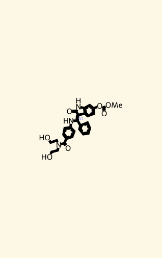 COC(=O)Oc1ccc2c(c1)NC(=O)/C2=C(\Nc1ccc(C(=O)N(CCO)CCO)cc1)c1ccccc1